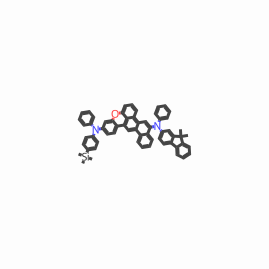 CC1(C)c2ccccc2-c2ccc(N(c3ccccc3)c3cc4c5cccc6c5c(cc4c4ccccc34)-c3ccc(N(c4ccccc4)c4ccc([Si](C)(C)C)cc4)cc3O6)cc21